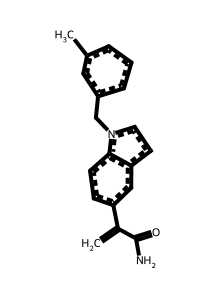 C=C(C(N)=O)c1ccc2c(ccn2Cc2cccc(C)c2)c1